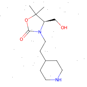 CC1(C)OC(=O)N(CCC2CCNCC2)[C@@H]1CO